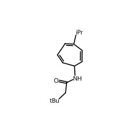 CC(C)C1=CC=CC(NC(=O)CC(C)(C)C)C=C1